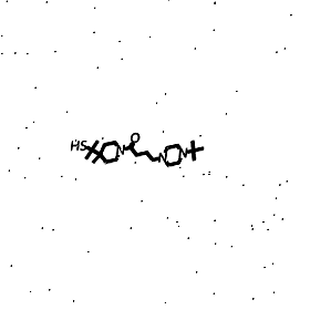 CC(C)(C)N1CCN(CCCC(=O)N2CCC(C)(C(C)(C)S)CC2)CC1